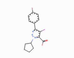 O=C(O)c1c(I)c(-c2ccc(Br)cc2)nn1C1CCCC1